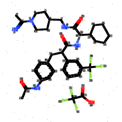 CC(=N)N1CCC(CNC(=O)[C@@H](NC(=O)C(Cc2ccc(NC(C)=O)cc2)c2cccc(C(F)(F)F)c2)C2CCCCC2)CC1.O=C(O)C(F)(F)F